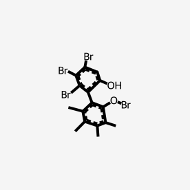 Cc1c(C)c(C)c(-c2c(O)cc(Br)c(Br)c2Br)c(OBr)c1C